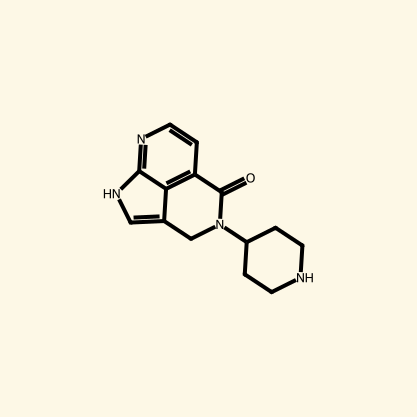 O=C1c2ccnc3[nH]cc(c23)CN1C1CCNCC1